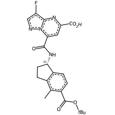 Cc1c(C(=O)OC(C)(C)C)ccc2c1CC[C@@H]2NC(=O)c1cc(C(=O)O)nc2c(F)cnn12